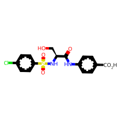 O=C(O)c1ccc(NC(=O)[C@H](CO)NS(=O)(=O)c2ccc(Cl)cc2)cc1